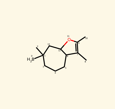 BC1(C)CCCC2C(C)=C(C)OC2C1